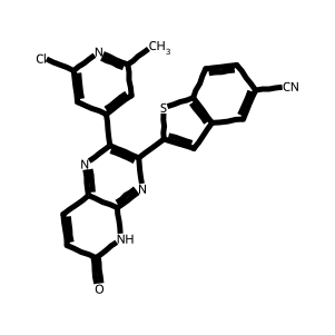 Cc1cc(-c2nc3ccc(=O)[nH]c3nc2-c2cc3cc(C#N)ccc3s2)cc(Cl)n1